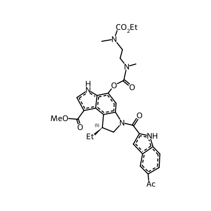 CCOC(=O)N(C)CCN(C)C(=O)Oc1cc2c(c3c(C(=O)OC)c[nH]c13)[C@H](CC)CN2C(=O)c1cc2cc(C(C)=O)ccc2[nH]1